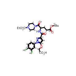 CCOC(=O)N1CCN(C(=O)C(CCC(=O)OC(C)(C)C)NC(=O)c2cc(OCC(=O)O)n(-c3ccc(F)c(F)c3)n2)CC1